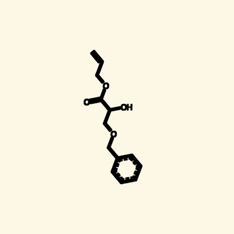 C=CCOC(=O)C(O)COCc1ccccc1